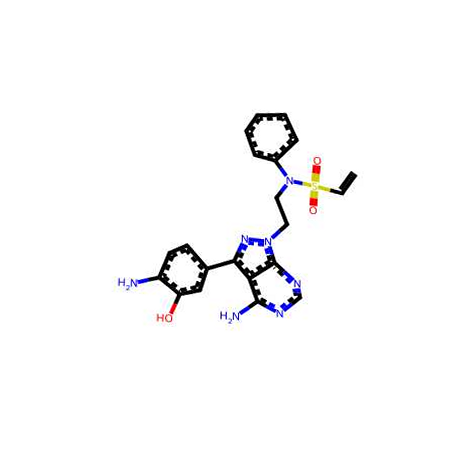 C=CS(=O)(=O)N(CCn1nc(-c2ccc(N)c(O)c2)c2c(N)ncnc21)c1ccccc1